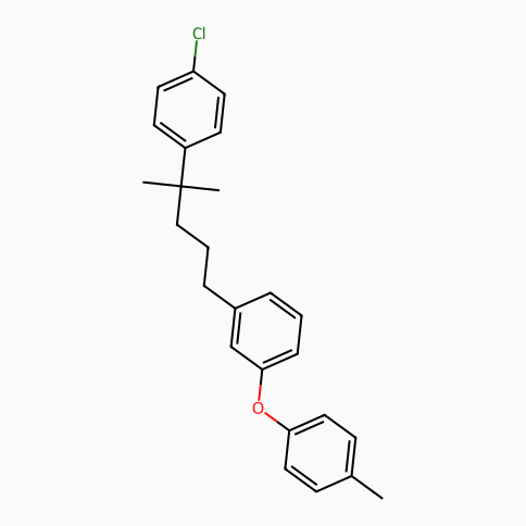 Cc1ccc(Oc2cccc(CCCC(C)(C)c3ccc(Cl)cc3)c2)cc1